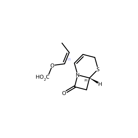 C/C=C\OC(=O)O.O=C1C[C@H]2SCC=CN12